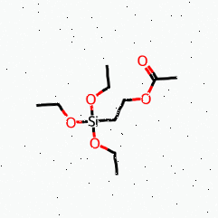 CCO[Si](CCOC(C)=O)(OCC)OCC